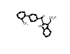 O=C(O)Cc1c(C(=O)c2ccc(-c3ccccc3C(F)(F)F)cc2)[nH]c2ccccc12